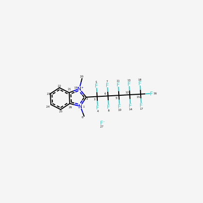 Cn1c(C(F)(F)C(F)(F)C(F)(F)C(F)(F)C(F)(F)F)[n+](C)c2ccccc21.[F-]